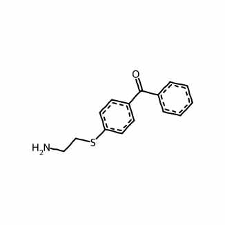 NCCSc1ccc(C(=O)c2ccccc2)cc1